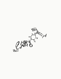 CC(C)(C)C(=O)NNC(=O)C1CCC(N(C(=O)O)C(C)(C)C)CC1